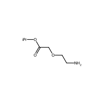 CC(C)OC(=O)COCCN